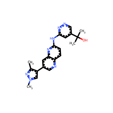 Cc1nn(C)cc1-c1cnc2ccc(Nc3cc(C(C)(C)O)cnn3)nc2c1